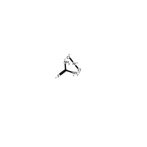 NC(N)=S.[Cl][Ni][Cl]